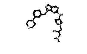 CN(C)CC(O)Cn1cc(Nc2ncc3cnn(Cc4cccc(N5CCOCC5)c4)c3n2)cn1